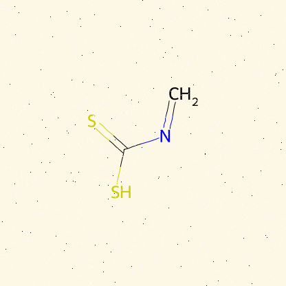 C=NC(=S)S